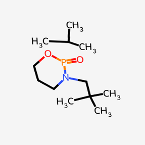 CC(C)(C)CN1CCCO[P@@]1(=O)C(C)(C)C